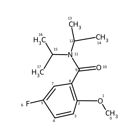 COc1ccc(F)cc1C(=O)N(C(C)C)C(C)C